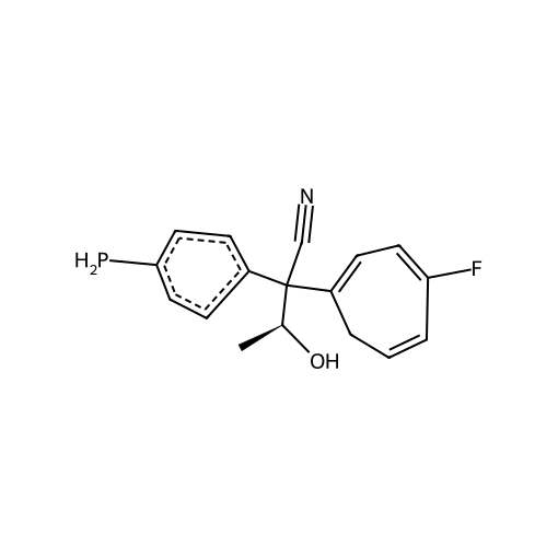 C[C@H](O)C(C#N)(C1=CC=C(F)C=CC1)c1ccc(P)cc1